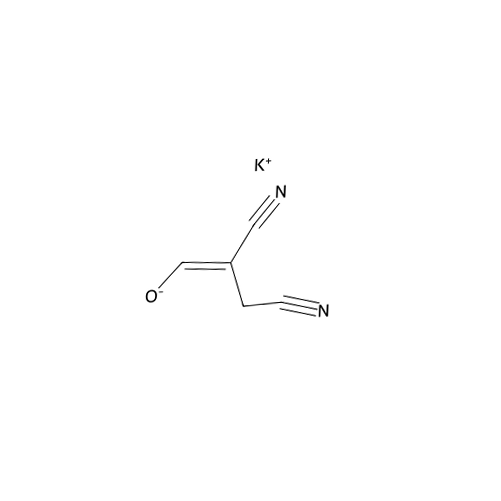 N#CC/C(C#N)=C\[O-].[K+]